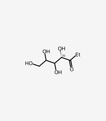 CCC(=O)[C@@H](O)C(O)C(O)CO